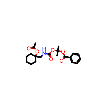 CC(=O)OC1(CNC(=O)OC(C)(C)OC(=O)c2ccccc2)CCCCC1